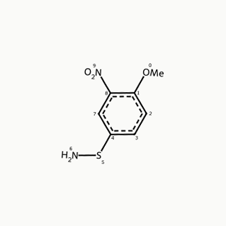 COc1ccc(SN)cc1[N+](=O)[O-]